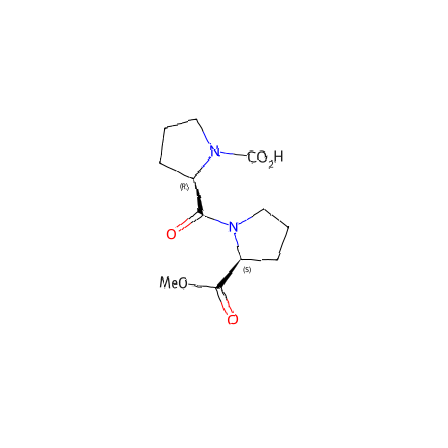 COC(=O)[C@@H]1CCCN1C(=O)[C@H]1CCCN1C(=O)O